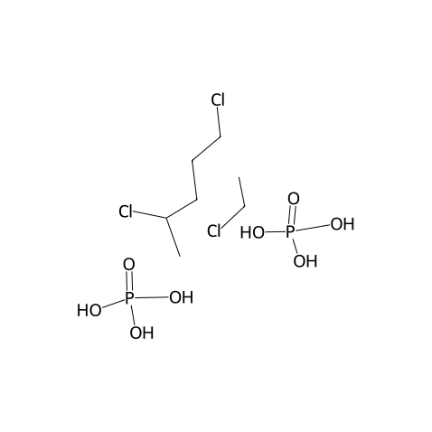 CC(Cl)CCCCl.CCCl.O=P(O)(O)O.O=P(O)(O)O